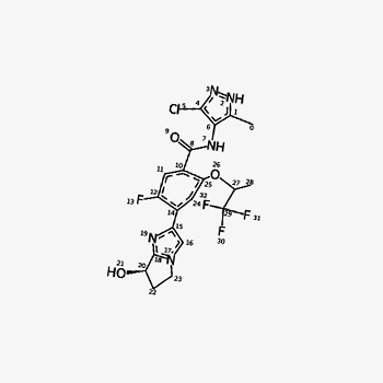 Cc1[nH]nc(Cl)c1NC(=O)c1cc(F)c(-c2cn3c(n2)[C@H](O)CC3)cc1OC(C)C(F)(F)F